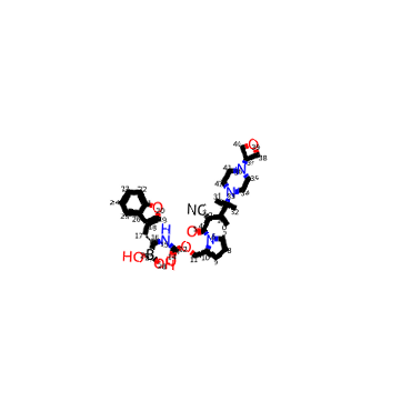 CC(C(C#N)C(=O)N1CCCC1COC(=O)N[C@@H](Cc1coc2ccccc12)B(O)O)C(C)(C)N1CCN(C2COC2)CC1